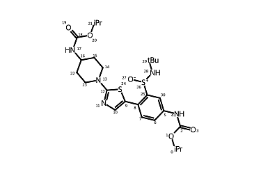 CC(C)OC(=O)Nc1ccc(-c2cnc(N3CCC(NC(=O)OC(C)C)CC3)s2)c([S+]([O-])NC(C)(C)C)c1